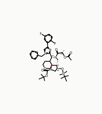 CC(=O)O[C@@H](C)C(=O)N(C[C@H]1CN(C(=O)OC(C)(C)C)C[C@@H]1O[Si](C)(C)C(C)(C)C)[C@@H](c1nc(-c2cc(F)ccc2F)cn1Cc1ccccc1)C1CCOCC1